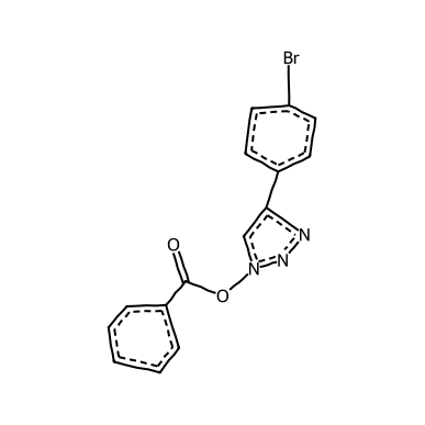 O=C(On1cc(-c2ccc(Br)cc2)nn1)c1ccccc1